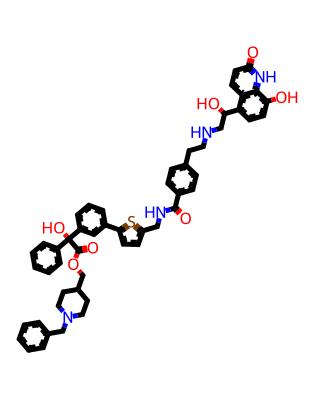 O=C(NCc1ccc(-c2cccc(C(O)(C(=O)OCC3CCN(Cc4ccccc4)CC3)c3ccccc3)c2)s1)c1ccc(CCNCC(O)c2ccc(O)c3[nH]c(=O)ccc23)cc1